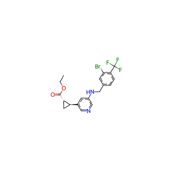 CCOC(=O)[C@H]1C[C@@H]1c1cncc(NCc2ccc(C(F)(F)F)c(Br)c2)c1